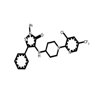 CC(C)n1sc(-c2ccccc2)c(NC2CCN(c3ncc(C(F)(F)F)cc3Cl)CC2)c1=O